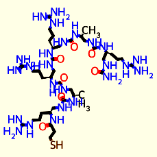 C[C@@H](CNC(=O)N[C@@H](CCCNC(=N)N)CNC(=O)N[C@@H](CCCNC(=N)N)CNC(=O)N[C@@H](C)CNC(=O)N[C@@H](CCCNC(=N)N)CNC(N)=O)NC(=O)NC[C@H](CCCNC(=N)N)NC(=O)CCS